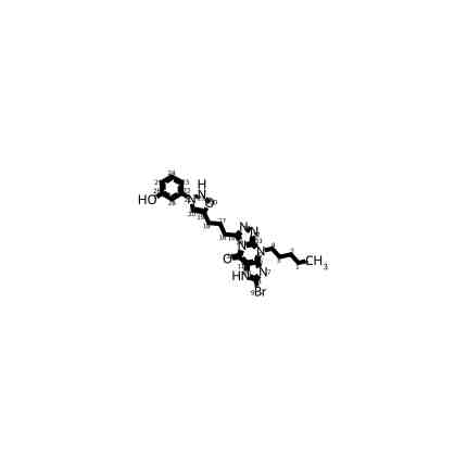 CCCCCn1c2nc(Br)[nH]c2c(=O)n2c(CCCC3=CN(c4cccc(O)c4)NO3)nnc12